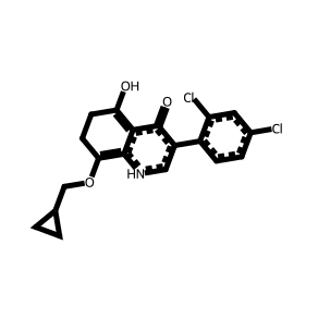 O=c1c(-c2ccc(Cl)cc2Cl)c[nH]c2c1=C(O)CCC=2OCC1CC1